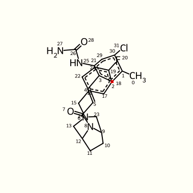 Cc1cc(C=CC(=O)N2C3CCC2CN(Cc2ccc(F)cc2)C3)c(NC(N)=O)cc1Cl